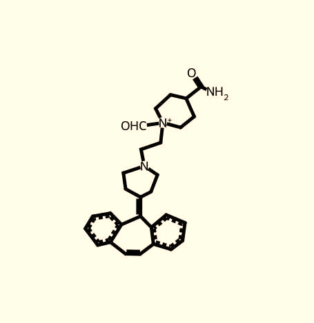 NC(=O)C1CC[N+](C=O)(CCN2CCC(=C3c4ccccc4C=Cc4ccccc43)CC2)CC1